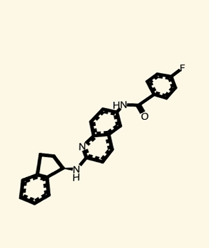 O=C(Nc1ccc2nc(N[C@@H]3CCc4ccccc43)ccc2c1)c1ccc(F)cc1